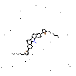 CCCCCCc1ccc(-c2ccc3c(ccc4c5ccc6cc(-c7ccc(CCCCCC)s7)ccc6c5n(C)c34)c2)s1